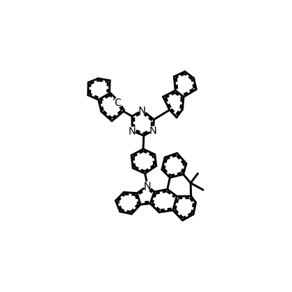 CC1(C)c2ccccc2-c2c3c1cccc3cc1c3ccccc3n(-c3ccc(-c4nc(-c5ccc6ccccc6c5)nc(-c5ccc6ccccc6c5)n4)cc3)c21